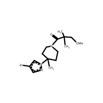 CCc1cnn(C2(C)CCN(C(=O)C(C)(C)COC)CC2)c1